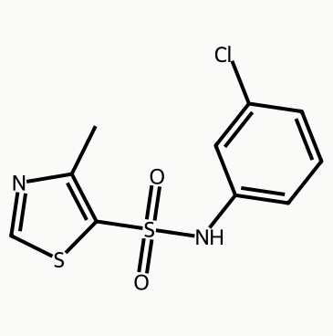 Cc1ncsc1S(=O)(=O)Nc1cccc(Cl)c1